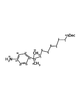 CCCCCCCCCCCCCCCCCC(C)(C)c1ccc(N)cc1